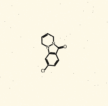 O=c1c2ccc(Cl)cc2n2n1CC=CC2